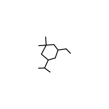 CCC1CC(C(C)C)CC(C)(C)C1